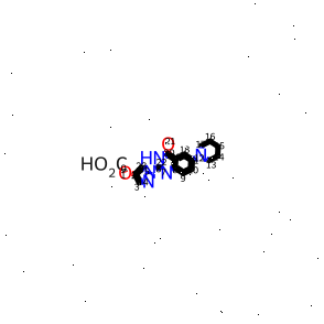 O=C(O)Oc1cnn(-c2nc3ccc(N4CCCCC4)cc3c(=O)[nH]2)c1